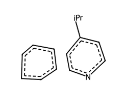 CC(C)c1ccncc1.c1ccccc1